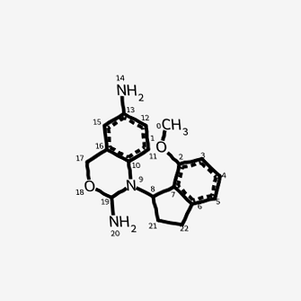 COc1cccc2c1C(N1c3ccc(N)cc3COC1N)CC2